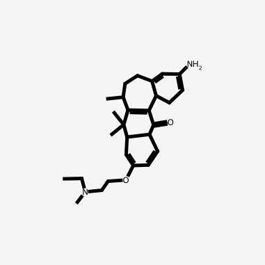 CCN(C)CCOC1=CC2C(C=C1)C(=O)C1=C(C(C)CCC3=CC(N)=CCC31)C2(C)C